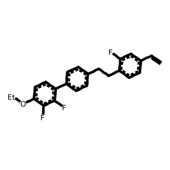 C=Cc1ccc(CCc2ccc(-c3ccc(OCC)c(F)c3F)cc2)c(F)c1